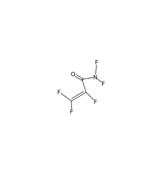 O=C(C(F)=C(F)F)N(F)F